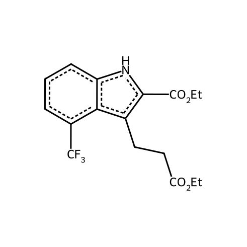 CCOC(=O)CCc1c(C(=O)OCC)[nH]c2cccc(C(F)(F)F)c12